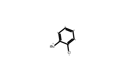 [CH2]C(CC)c1ccccc1Cl